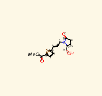 COC(=O)c1ccc(C=CCN2C(=O)CC[C@@H]2CO)s1